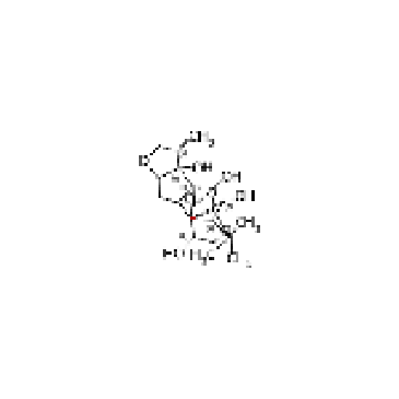 C[C@@H]1COC2CC34C5OC(O)[C@]3(OC3OC[C@H](O)C34[C@H](C(C)(C)C)[C@H]5O)[C@]21O